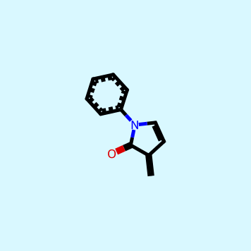 C=C1C=CN(c2ccccc2)C1=O